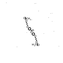 CC1(COCCCCOc2ccc(OC(=O)c3ccc(OCCCCOCC4(C)CO4)cc3)cc2)CO1